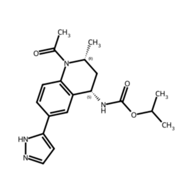 CC(=O)N1c2ccc(-c3ccn[nH]3)cc2[C@@H](NC(=O)OC(C)C)C[C@H]1C